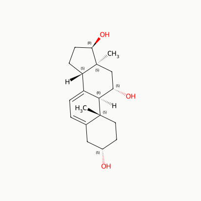 C[C@]12C[C@H](O)[C@@H]3C(=CC=C4C[C@@H](O)CC[C@]43C)[C@@H]1CC[C@H]2O